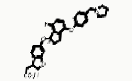 O=C(O)CC1COc2cc(O[C@@H]3CCc4c(Oc5ccc(CN6CCCC6)cc5)ccc(F)c43)ccc21